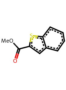 COC(=O)c1cc2ccccc2s1